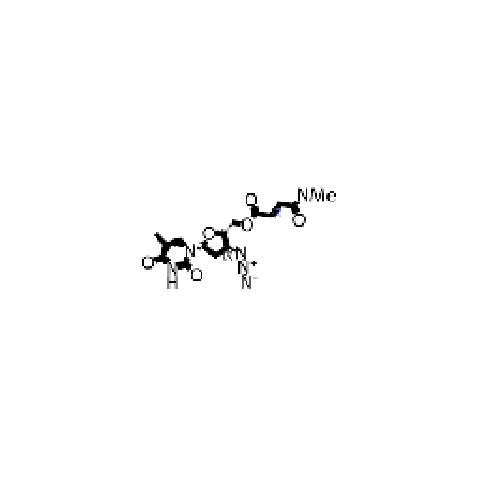 CNC(=O)/C=C/C(=O)OC[C@H]1O[C@@H](n2cc(C)c(=O)[nH]c2=O)C[C@@H]1N=[N+]=[N-]